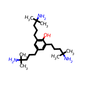 CC(C)(N)CCCc1cc(CCCC(C)(C)N)c(O)c(CCCC(C)(C)N)c1